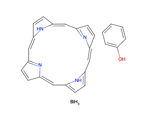 C1=Cc2cc3ccc(cc4nc(cc5ccc(cc1n2)[nH]5)C=C4)[nH]3.Oc1ccccc1.[BiH3]